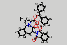 C[C@@H](C(=O)OC(c1ccccc1)c1ccccc1)N1Cc2ccccc2C[C@H](N2C(=O)c3ccccc3C2=O)C1=O